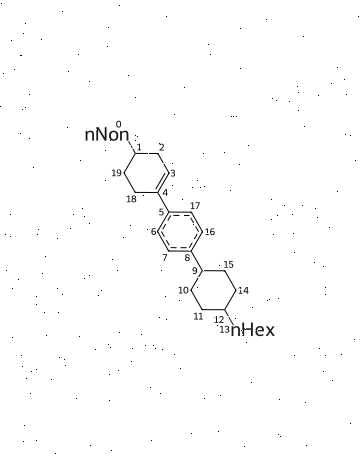 CCCCCCCCCC1CC=C(c2ccc(C3CCC(CCCCCC)CC3)cc2)CC1